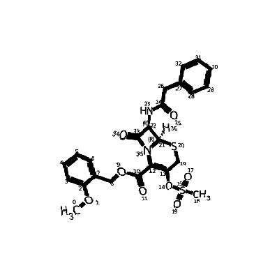 COc1ccccc1COC(=O)C1=C(OS(C)(=O)=O)CS[C@@H]2[C@H](NC(=O)Cc3ccccc3)C(=O)N12